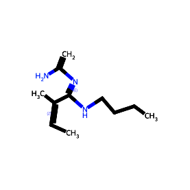 C=C(N)/N=C(NCCCC)\C(C)=C/C